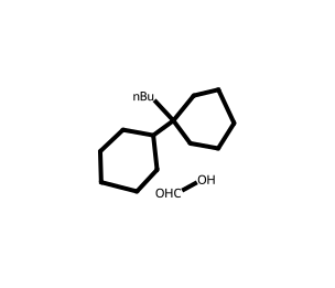 CCCCC1(C2CCCCC2)CCCCC1.O=CO